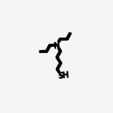 CCCN(CCC)CCCCS